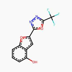 Oc1cccc2oc(-c3nnc(C(F)(F)F)o3)cc12